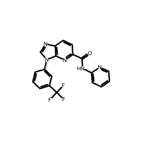 O=C(Nc1ccccn1)c1ccc2ncn(-c3cccc(C(F)(F)F)c3)c2n1